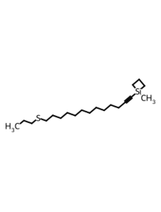 CCCSCCCCCCCCCCCC#C[Si]1(C)CCC1